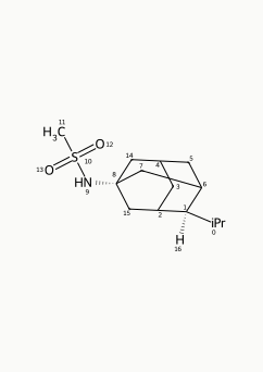 CC(C)[C@H]1C2CC3CC1C[C@](NS(C)(=O)=O)(C3)C2